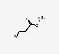 CC[C@@H](C)OC(=O)CCC(C)C